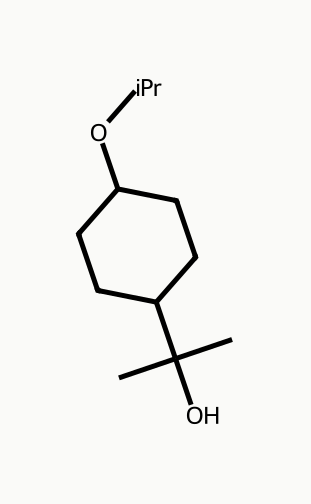 CC(C)OC1CCC(C(C)(C)O)CC1